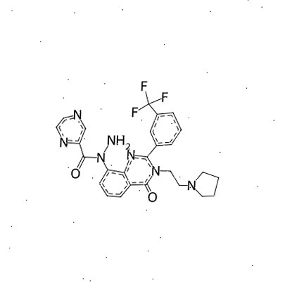 NN(C(=O)c1cnccn1)c1cccc2c(=O)n(CCN3CCCC3)c(-c3cccc(C(F)(F)F)c3)nc12